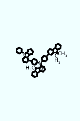 CC1(C)c2ccccc2-c2ccc(-c3ccc(N(c4ccc(-c5cccc6c5c5ccccc5n6-c5ccccc5)cc4)c4cccc5c4C(C)(C)c4ccccc4-5)cc3)cc21